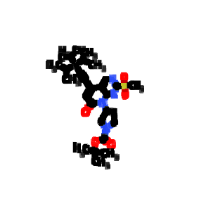 CC(C)[Si](C#Cc1cc(=O)n(C2CCN(C(=O)OC(C)(C)C)C2)c2nc(S(C)(=O)=O)ncc12)(C(C)C)C(C)C